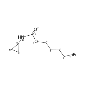 CC(C)CCCCOC(=O)NC1CC1